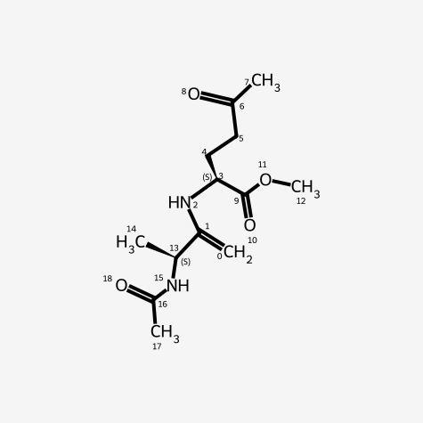 C=C(N[C@@H](CCC(C)=O)C(=O)OC)[C@H](C)NC(C)=O